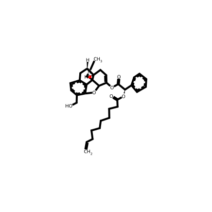 C=CCCCCCCCC(=O)O[C@H](C(=O)OC1=CC[C@@]2(O)[C@H]3Cc4ccc(CO)c5c4C2(CCN3C)C1O5)c1ccccc1